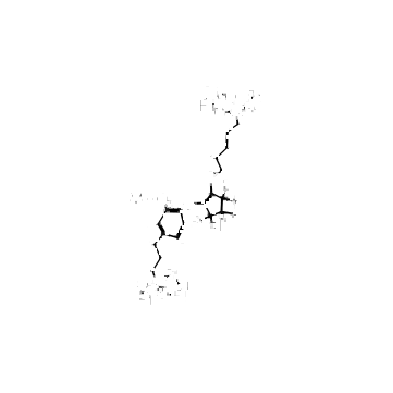 CCO[Si](CCCCCOC1=C(Oc2ccc(CCC[Si](OCC)(OCC)OCC)cc2OC)C(F)(F)C(F)(F)C1(F)F)(OCC)OCC